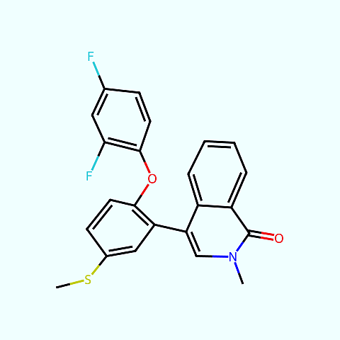 CSc1ccc(Oc2ccc(F)cc2F)c(-c2cn(C)c(=O)c3ccccc23)c1